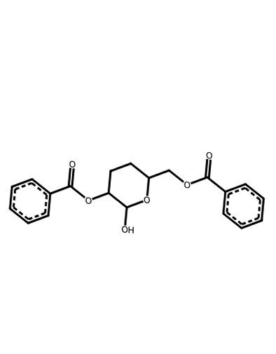 O=C(OCC1CCC(OC(=O)c2ccccc2)C(O)O1)c1ccccc1